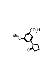 CCC(C)Oc1cc(C(=O)O)cc(N2CCCC2=O)c1